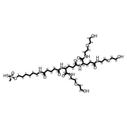 CP(=O)(S)OCCCCCCNC(=O)CCCC(=O)NC(CCC(=O)NC(CCC(=O)NCCOCCO)C(=O)NCCOCCO)C(=O)NCCOCCO